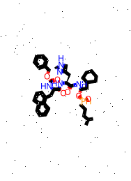 CC(C)CCC[PH](=O)OC(CC1CCCCC1)NC(=O)[C@H](Cc1c[nH]cn1)NC(=O)C(Cc1cccc2ccccc12)NC(=O)OCc1ccccc1